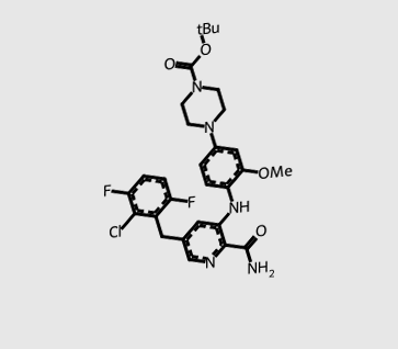 COc1cc(N2CCN(C(=O)OC(C)(C)C)CC2)ccc1Nc1cc(Cc2c(F)ccc(F)c2Cl)cnc1C(N)=O